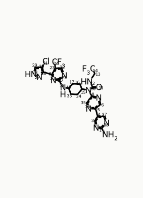 Nc1ncc(-c2cnc(N(C(=O)NCC(F)(F)F)C3CCC(Nc4ncc(C(F)(F)F)c(-c5n[nH]cc5Cl)n4)CC3)cn2)cn1